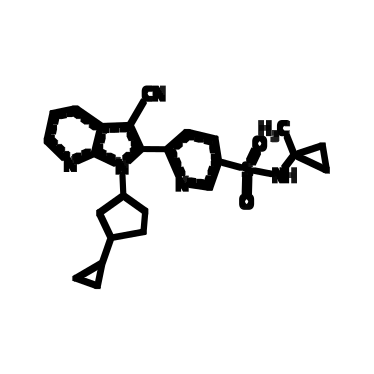 CC1(NS(=O)(=O)c2ccc(-c3c(C#N)c4cccnc4n3C3CCC(C4CC4)C3)nc2)CC1